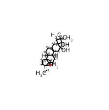 CC[C@@]12C=CC3(CC1)[C@@H]1CCC4=C(CC(O)(O)C5(C4)CC(C)(C)C5)[C@H]1CC[C@@]32C